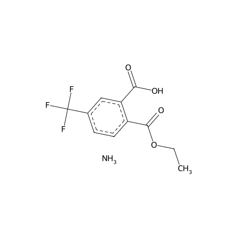 CCOC(=O)c1ccc(C(F)(F)F)cc1C(=O)O.N